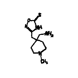 CN1CCC(CN)(Cc2noc(=S)[nH]2)CC1